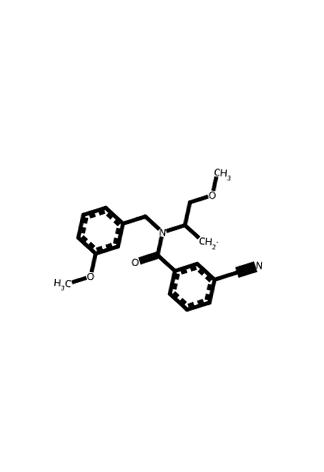 [CH2]C(COC)N(Cc1cccc(OC)c1)C(=O)c1cccc(C#N)c1